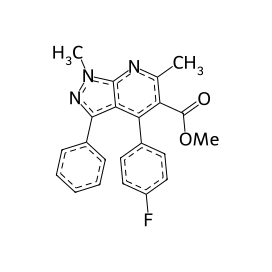 COC(=O)c1c(C)nc2c(c(-c3ccccc3)nn2C)c1-c1ccc(F)cc1